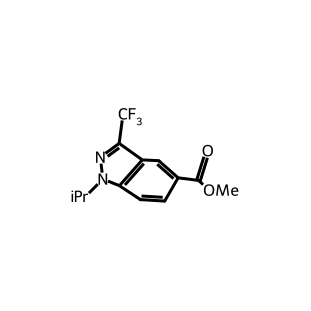 COC(=O)c1ccc2c(c1)c(C(F)(F)F)nn2C(C)C